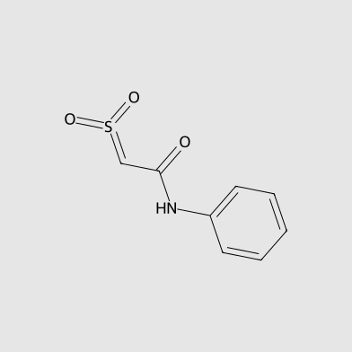 O=C(C=S(=O)=O)Nc1ccccc1